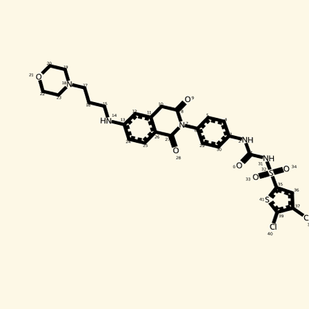 O=C(Nc1ccc(N2C(=O)Cc3cc(NCCCN4CCOCC4)ccc3C2=O)cc1)NS(=O)(=O)c1cc(Cl)c(Cl)s1